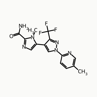 Cc1ccc(-n2cc(-c3cnc(C(N)=O)n3C)c(C(F)(F)F)n2)nc1